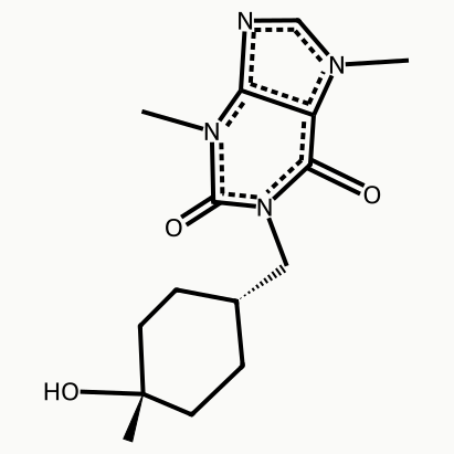 Cn1cnc2c1c(=O)n(C[C@H]1CC[C@@](C)(O)CC1)c(=O)n2C